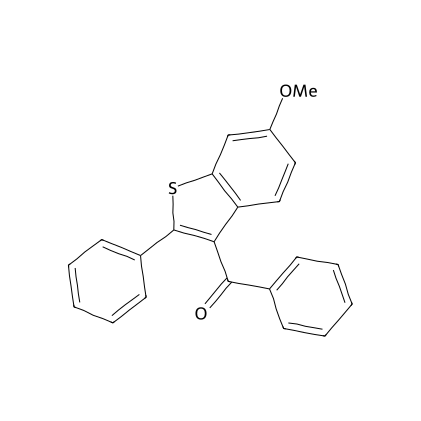 COc1ccc2c(C(=O)c3ccccc3)c(-c3ccccc3)sc2c1